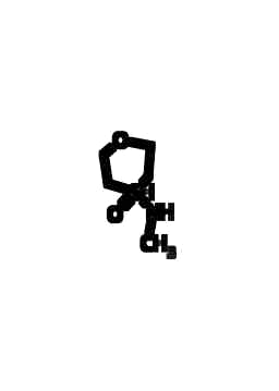 CN[SH]1(=O)CCOCC1